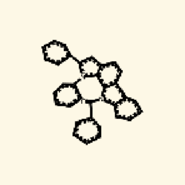 O=C(c1ccccc1)n1c2ccccc2c2ccc3cc(-c4ccccc4)n(-c4ccccc4)c3c21